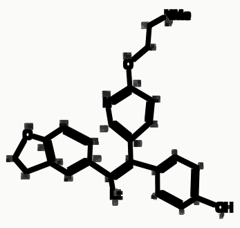 CCC(=C(c1ccc(O)cc1)c1ccc(OCCNC)nc1)c1ccc2c(c1)CCO2